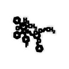 C=CCOC1C[C@H](OCc2ccccc2)CC(CCn2c(-c3ccc(F)cc3)c(-c3ccccc3)c(C(=O)Nc3ccccc3)c2C(C)C)O1